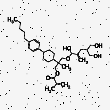 C=C(C)C(=O)OCC(C)(COC(O)C(=C)CC(CO)CO)C1CCC(c2ccc(CCCCC)cc2)CC1